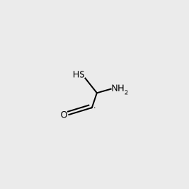 NC(S)[C]=O